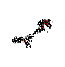 COCOc1ccccc1-c1cc(N2CC3CCC(C2)N3c2ccnc(O[C@H]3C[C@H](Oc4ccc(/C=C/COc5cc(C(C(=O)N6C[C@H](O)C[C@H]6C(=O)NCc6ccc(-c7scnc7C)cc6)C(C)C)on5)nc4)C3)c2)c(N)nn1